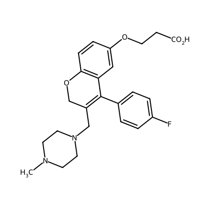 CN1CCN(CC2=C(c3ccc(F)cc3)c3cc(OCCC(=O)O)ccc3OC2)CC1